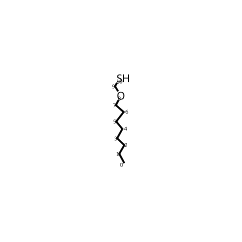 CCCCCCCCOCS